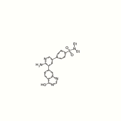 CCN(CC)S(=O)(=O)c1ccc(-c2cnc(N)c(-c3ccc4c(O)ncnc4c3)c2)cc1